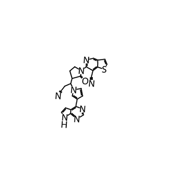 N#CCC(C1CCN(c2ncc3ccsc3c2C#N)C1=O)n1ccc(-c2ncnc3[nH]ccc23)c1